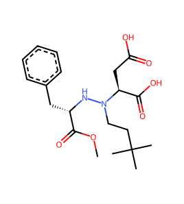 COC(=O)[C@H](Cc1ccccc1)NN(CCC(C)(C)C)[C@@H](CC(=O)O)C(=O)O